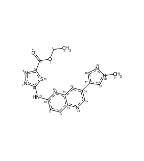 CCOC(=O)c1nnc(Nc2ccc3ncc(-c4cnn(C)c4)cc3n2)s1